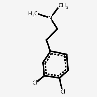 CN(C)CCc1ccc(Cl)c(Cl)c1